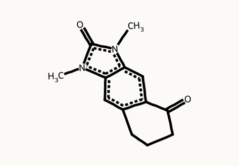 Cn1c(=O)n(C)c2cc3c(cc21)CCCC3=O